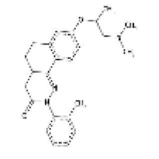 Cc1ccccc1N1N=C2c3ccc(OC(C)CN(C)C)cc3CCC2CC1=O